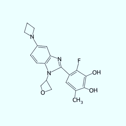 Cc1cc(-c2nc3cc(N4CCC4)ccc3n2C2COC2)c(F)c(O)c1O